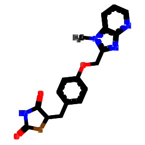 Cn1c(COc2ccc(CC3SC(=O)NC3=O)cc2)nc2ncccc21